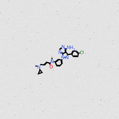 CN(C(=O)C=CCN(C)C1CC1)c1cccc(-n2nc(-c3ccc(Cl)cc3)c3c(N)ncnc32)c1